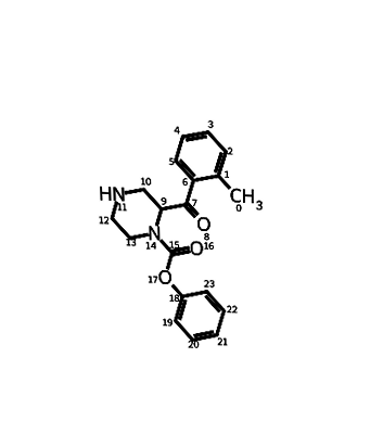 Cc1ccccc1C(=O)C1CNCCN1C(=O)Oc1ccccc1